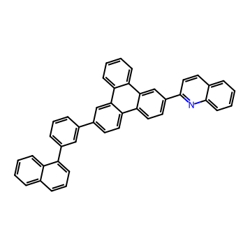 c1cc(-c2ccc3c4ccc(-c5ccc6ccccc6n5)cc4c4ccccc4c3c2)cc(-c2cccc3ccccc23)c1